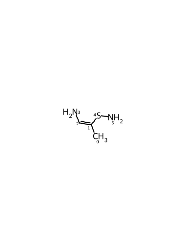 C/C(=C/N)SN